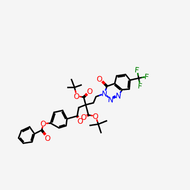 CC(C)(C)OC(=O)C(CCn1nnc2cc(C(F)(F)F)ccc2c1=O)(CC(=O)c1ccc(OC(=O)c2ccccc2)cc1)C(=O)OC(C)(C)C